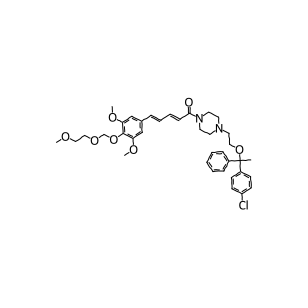 COCCOCOc1c(OC)cc(C=CC=CC(=O)N2CCN(CCOC(C)(c3ccccc3)c3ccc(Cl)cc3)CC2)cc1OC